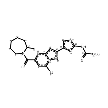 CCc1cc(C(=O)N2CCCCCC2C)nc2cc(-c3csc(NC(=O)OCC(C)C)n3)nn12